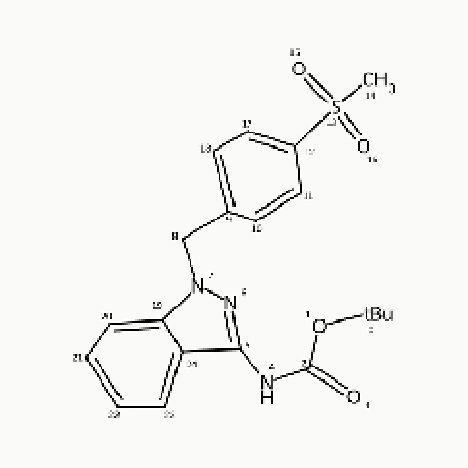 CC(C)(C)OC(=O)Nc1nn(Cc2ccc(S(C)(=O)=O)cc2)c2ccccc12